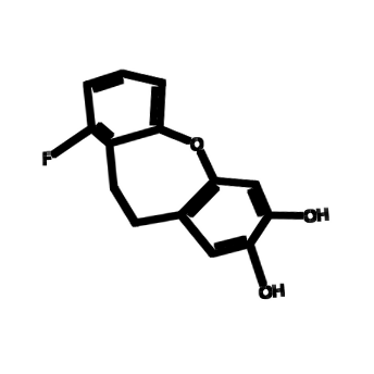 Oc1cc2c(cc1O)Oc1cccc(F)c1CC2